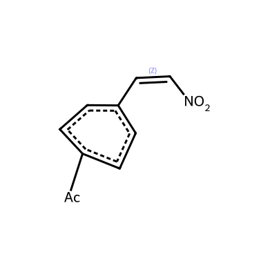 CC(=O)c1ccc(/C=C\[N+](=O)[O-])cc1